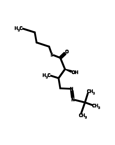 CCCCSC(=O)[C@@H](O)C(C)C/N=N/C(C)(C)C